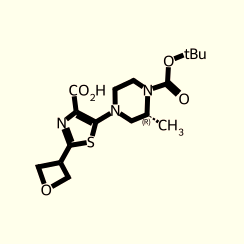 C[C@@H]1CN(c2sc(C3COC3)nc2C(=O)O)CCN1C(=O)OC(C)(C)C